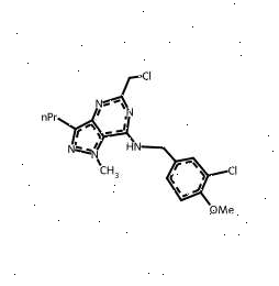 CCCc1nn(C)c2c(NCc3ccc(OC)c(Cl)c3)nc(CCl)nc12